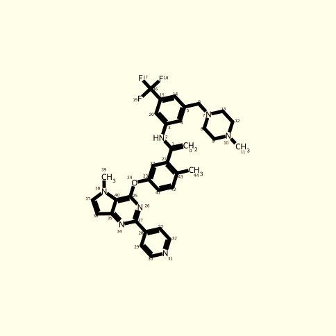 C=C(Nc1cc(CN2CCN(C)CC2)cc(C(F)(F)F)c1)c1cc(Oc2nc(-c3ccncc3)nc3ccn(C)c23)ccc1C